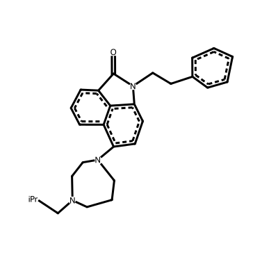 CC(C)CN1CCCN(c2ccc3c4c(cccc24)C(=O)N3CCc2ccccc2)CC1